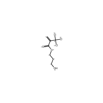 C=C(C(=O)OCCCO)C(Cl)(Cl)Cl